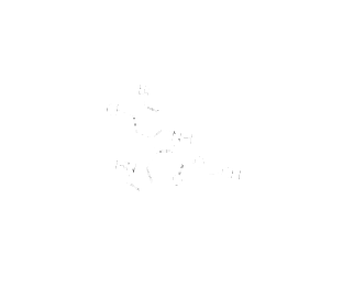 CCOC(=O)c1[nH]c2cc(Br)c(Cl)cc2c1-c1ccc[nH]1